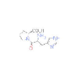 NC(Cc1c[nH]cn1)C(=O)N1CCC[C@H]1C(=O)O